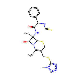 COC1(NC(=O)C(NC=S)c2ccccc2)C(=O)N2C(C(=O)O)=C(CSc3nnnn3C)CSC21